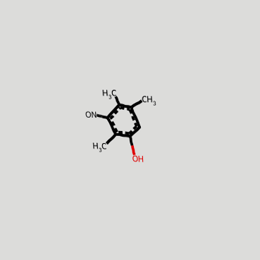 Cc1cc(O)c(C)c(N=O)c1C